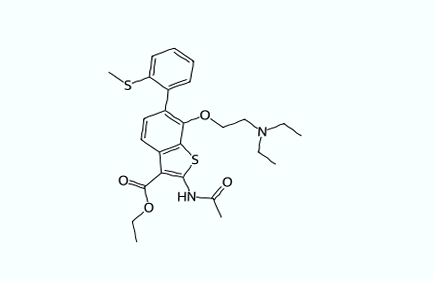 CCOC(=O)c1c(NC(C)=O)sc2c(OCCN(CC)CC)c(-c3ccccc3SC)ccc12